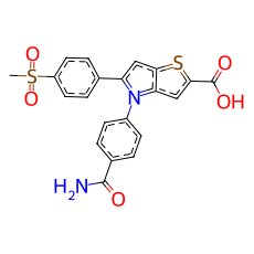 CS(=O)(=O)c1ccc(-c2cc3sc(C(=O)O)cc3n2-c2ccc(C(N)=O)cc2)cc1